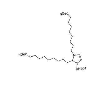 CCCCCCCCCCCCCCCCCCCC1N(CCCCCCC)C=CN1CCCCCCCCCCCCCCCCCC